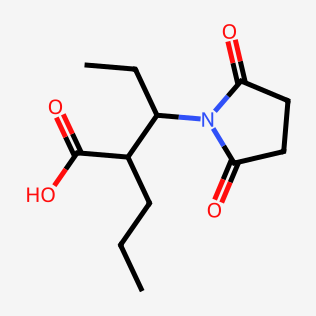 CCCC(C(=O)O)C(CC)N1C(=O)CCC1=O